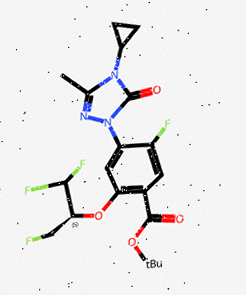 Cc1nn(-c2cc(O[C@@H](CF)C(F)F)c(C(=O)OC(C)(C)C)cc2F)c(=O)n1C1CC1